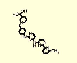 Cc1cccc(-c2nccc(Nc3ccnc(Nc4ccc(CN5CCCC(C(O)O)C5)cc4)n3)n2)n1